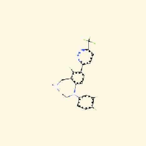 CN1CCN(c2ccc(F)c(F)c2)c2ccc(-c3ccc(C(F)(F)F)nn3)c(F)c2C1